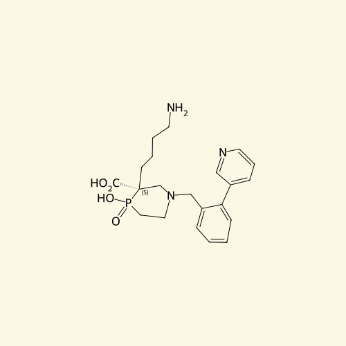 NCCCC[C@@]1(C(=O)O)CN(Cc2ccccc2-c2cccnc2)CCP1(=O)O